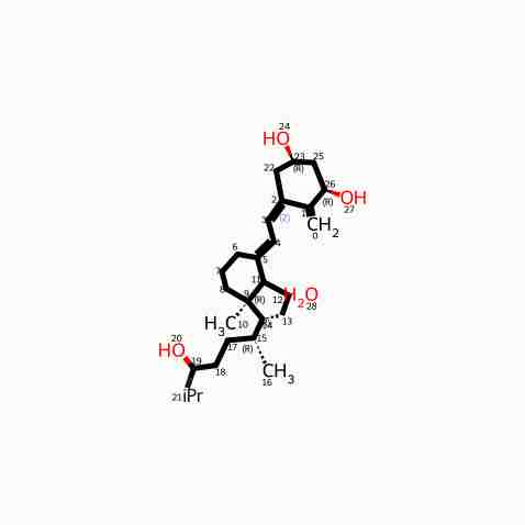 C=C1/C(=C\C=C2CCC[C@@]3(C)C2CC[C@@H]3[C@H](C)CCC(O)C(C)C)C[C@@H](O)C[C@H]1O.O